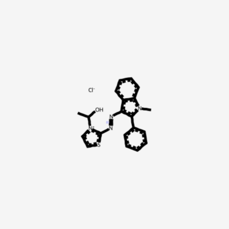 CC(O)[n+]1ccsc1/N=N/c1c(-c2ccccc2)n(C)c2ccccc12.[Cl-]